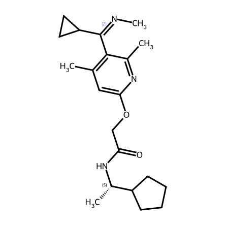 C/N=C(\c1c(C)cc(OCC(=O)N[C@@H](C)C2CCCC2)nc1C)C1CC1